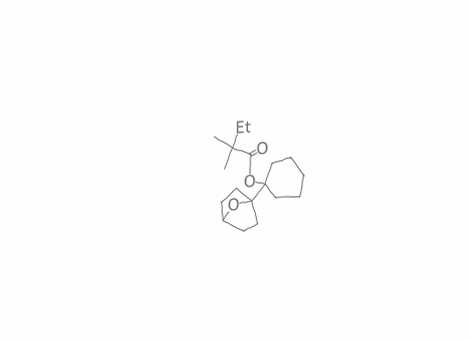 CCC(C)(C)C(=O)OC1(C23CCC(CC2)O3)CCCCC1